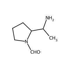 CC(N)C1CCCN1[C]=O